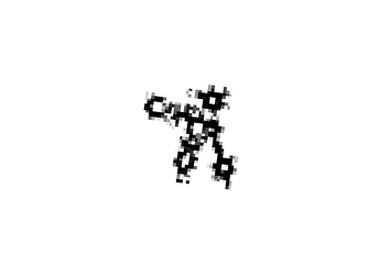 CCN1CCN(S(=O)(=O)NCc2c(C(=O)NN3CCCCC3)nn(-c3ccc(Cl)cc3Cl)c2-c2ccc(C#Cc3ccc(C)cc3)s2)CC1